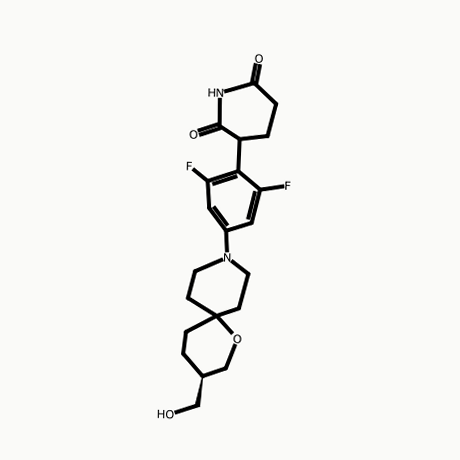 O=C1CCC(c2c(F)cc(N3CCC4(CC[C@H](CO)CO4)CC3)cc2F)C(=O)N1